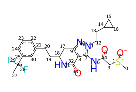 C[S+]([O-])CC(=O)Nc1c2c(nn1CCC1CC1)CC(CCc1cccc(C(C)(F)F)c1)NC2=O